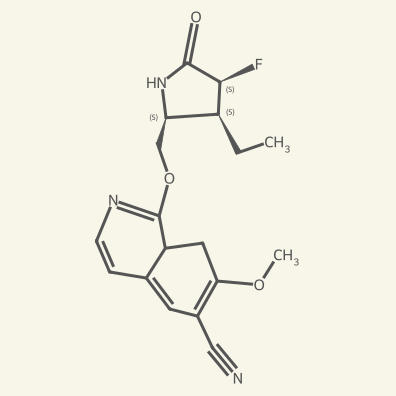 CC[C@@H]1[C@H](F)C(=O)N[C@@H]1COC1=NC=CC2=CC(C#N)=C(OC)CC21